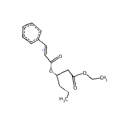 CCCC(CC(=O)OCC)OC(=O)/C=C/c1ccccc1